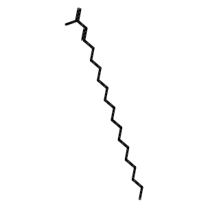 C=C(C)C=CCCCCCCCCCCCCCCCC